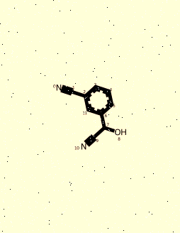 N#Cc1cccc(C(O)C#N)c1